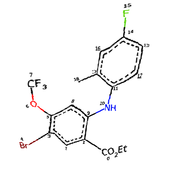 CCOC(=O)c1cc(Br)c(OC(F)(F)F)cc1Nc1ccc(F)cc1C